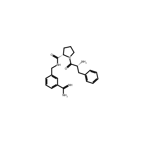 N=C(N)c1cccc(CNC(=O)[C@@H]2CCCN2C(=O)[C@H](N)Cc2ccccc2)c1